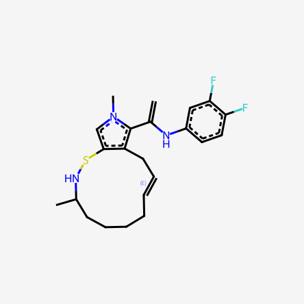 C=C(Nc1ccc(F)c(F)c1)c1c2c(cn1C)SNC(C)CCCC/C=C/C2